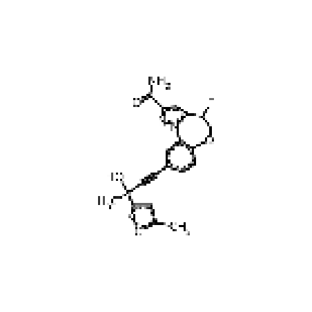 Cc1cc([C@](C)(O)C#Cc2ccc3c(c2)-n2nc(C(N)=O)cc2C(F)CO3)no1